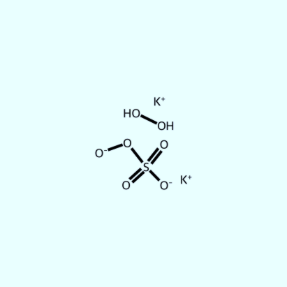 O=S(=O)([O-])O[O-].OO.[K+].[K+]